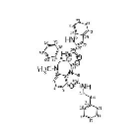 CN1c2ccccc2N(CC(=O)NCCc2ccccc2)C(=O)[C@H](NC(=O)c2cc3ccccc3[nH]2)[C@H]1c1ccccc1